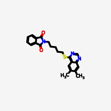 Cc1cc2ncnc(SCCCCCN3C(=O)c4ccccc4C3=O)c2cc1C